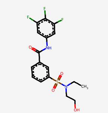 CCN(CCO)S(=O)(=O)c1cccc(C(=O)Nc2cc(F)c(F)c(F)c2)c1